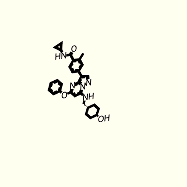 Cc1cc(-c2cnn3c(NC[C@H]4CC[C@H](O)CC4)cc(Oc4ccccc4)nc23)ccc1C(=O)NC1CC1